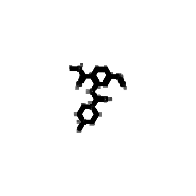 COC(=O)c1ccc(N=O)cc1OC(=O)N1CCN(C)CC1